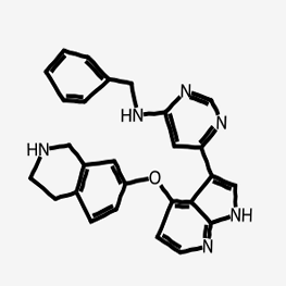 c1ccc(CNc2cc(-c3c[nH]c4nccc(Oc5ccc6c(c5)CNCC6)c34)ncn2)cc1